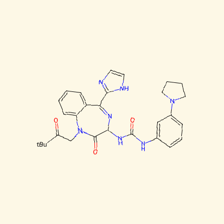 CC(C)(C)C(=O)CN1C(=O)C(NC(=O)Nc2cccc(N3CCCC3)c2)N=C(c2ncc[nH]2)c2ccccc21